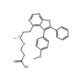 COc1ccc(-c2c(-c3ccccc3)oc3ncnc(CC[C@@H](C)OCCC(=O)O)c23)cc1